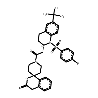 O=C1Cc2ccccc2C2(CCN(C(=O)C[C@@H]3CCc4cc(C(O)(C(F)(F)F)C(F)(F)F)ccc4N3S(=O)(=O)c3ccc(F)cc3)CC2)N1